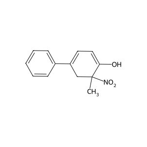 CC1([N+](=O)[O-])CC(c2ccccc2)=CC=C1O